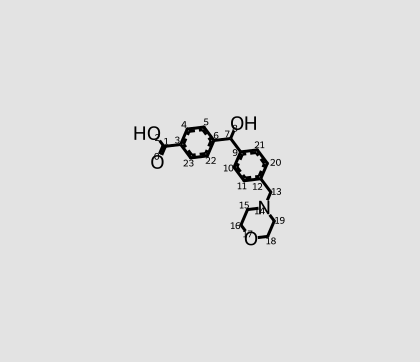 O=C(O)c1ccc(C(O)c2ccc(CN3CCOCC3)cc2)cc1